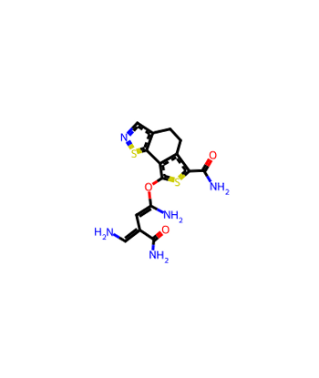 N/C=C(\C=C(/N)Oc1sc(C(N)=O)c2c1-c1sncc1CC2)C(N)=O